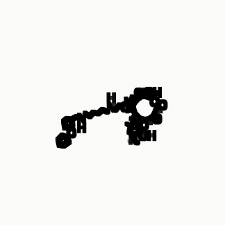 CC[C@H]1OC(=O)[C@H](C)C(=O)[C@H](C)[C@@H](O[C@@H]2O[C@H](C)C[C@H](N(C)C)[C@H]2O)[C@@](C)(OC)C[C@@H](C)/C(=N\OCCNCCCCCCNCc2cccc(Oc3ccccc3)c2)[C@@H](C)[C@@H](O)[C@]1(C)O